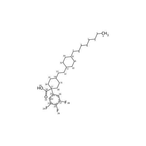 CCCCCCCCC1CCC(CCC2CCC(C(=O)O)(c3cc(F)c(F)c(F)c3)CC2)CC1